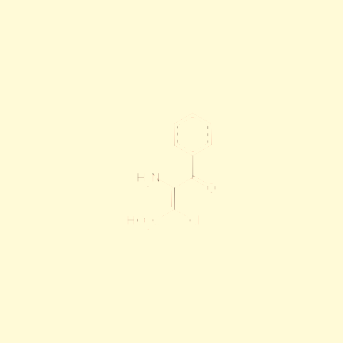 NC(C(=O)c1ccccc1)=C(Cl)C(=O)O